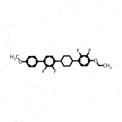 CCOc1ccc(C2CCC(c3ccc(-c4ccc(OC)cc4)c(F)c3F)CC2)c(F)c1F